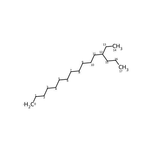 [CH2]CCCCCCCCCCCC(CC)CCC